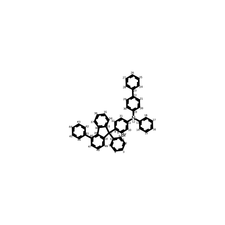 Brc1ccccc1C1(c2ccc(N(c3ccccc3)c3ccc(-c4ccccc4)cc3)cc2)c2ccccc2-c2c(-c3ccccc3)cccc21